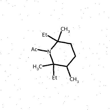 CCC1(C)CCC(C)C(C)(CC)N1C(C)=O